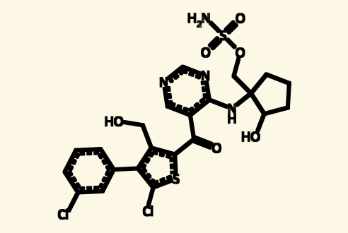 NS(=O)(=O)OCC1(Nc2ncncc2C(=O)c2sc(Cl)c(-c3cccc(Cl)c3)c2CO)CCCC1O